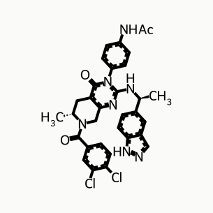 CC(=O)Nc1ccc(-n2c(N[C@@H](C)c3ccc4[nH]ncc4c3)nc3c(c2=O)C[C@@H](C)N(C(=O)c2ccc(Cl)c(Cl)c2)C3)cc1